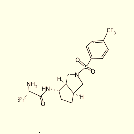 CC(C)[C@H](N)C(=O)N[C@H]1CC[C@@H]2CN(S(=O)(=O)c3ccc(C(F)(F)F)cc3)C[C@@H]21